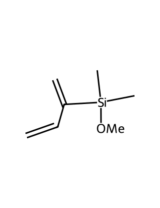 C=CC(=C)[Si](C)(C)OC